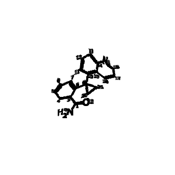 NC(=O)c1ccccc1C1(c2cccc3ncccc23)CC1